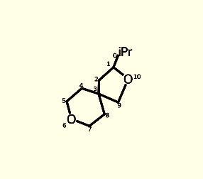 CC(C)C1CC2(CCOCC2)CO1